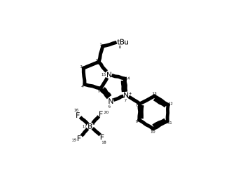 CC(C)(C)CC1CCc2n[n+](-c3ccccc3)cn21.F[B-](F)(F)F